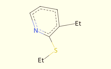 CCSc1ncccc1CC